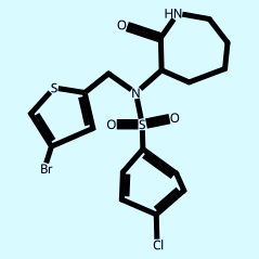 O=C1NCCCCC1N(Cc1cc(Br)cs1)S(=O)(=O)c1ccc(Cl)cc1